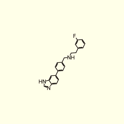 Fc1cccc(CCNCc2ccc(-c3ccc4nc[nH]c4c3)cc2)c1